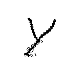 CCCCCCCCCCCCCCCCCCN(CCCCCCCCCCCCCCCCCC)C(=O)COCCOCCOC(=O)CCc1cnc[nH]1